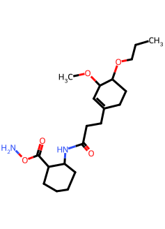 CCCOC1CCC(CCC(=O)NC2CCCCC2C(=O)ON)=CC1OC